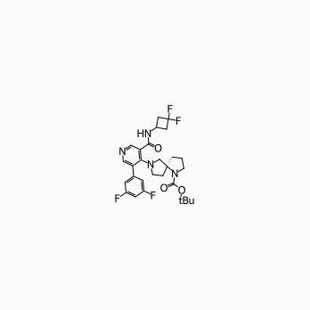 CC(C)(C)OC(=O)N1CCC[C@@]12CCN(c1c(C(=O)NC3CC(F)(F)C3)cncc1-c1cc(F)cc(F)c1)C2